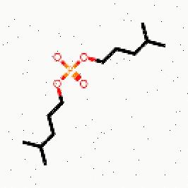 CC(C)CCCOP([O])(=O)OCCCC(C)C